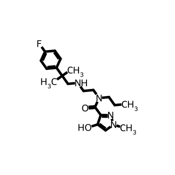 CCCN(CCNCC(C)(C)c1ccc(F)cc1)C(=O)c1nn(C)cc1O